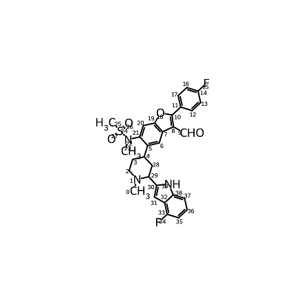 CN1CCC(c2cc3c(C=O)c(-c4ccc(F)cc4)oc3cc2N(C)S(C)(=O)=O)CC1c1cc2c(F)cccc2[nH]1